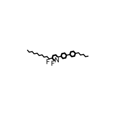 CCCCCCCCCC(F)c1ccc(-c2ccc(-c3ccc(CCCCC)cc3)cc2)nc1F